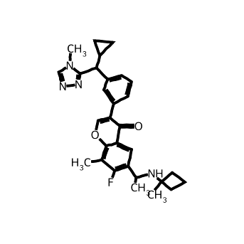 Cc1c(F)c(C(C)NC2(C)CCC2)cc2c(=O)c(-c3cccc(C(c4nncn4C)C4CC4)c3)coc12